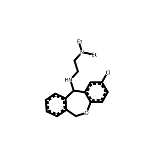 CCN(CC)CCNC1c2ccccc2COc2ccc(Cl)cc21